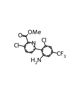 COC(=O)c1nc(-c2c(N)cc(C(F)(F)F)cc2Cl)ccc1Cl